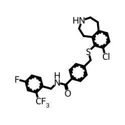 O=C(NCc1ccc(F)cc1C(F)(F)F)c1ccc(CSc2c(Cl)ccc3c2CCNCC3)cc1